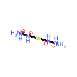 NNC(=O)CCNC(=O)CCCSSCCCC(=O)NCCC(=O)NN